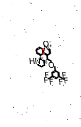 [O-][n+]1ccc(C(COCc2cc(C(F)(F)F)cc(C(F)(F)F)c2)[C@@H]2CCCN[C@@H]2c2ccccc2)cc1